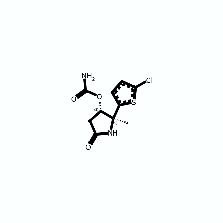 C[C@]1(c2ccc(Cl)s2)NC(=O)C[C@@H]1OC(N)=O